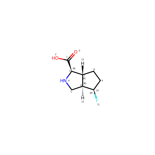 O=C(O)[C@@H]1NC[C@H]2[C@H]1CC[C@H]2F